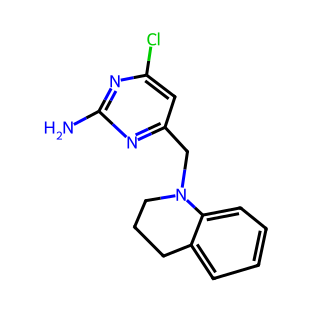 Nc1nc(Cl)cc(CN2CCCc3ccccc32)n1